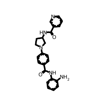 Nc1ccccc1NC(=O)c1ccc(N2CCC(NC(=O)c3cccnc3)C2)cc1